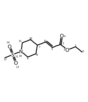 CCOC(=O)C=CC1CCN(S(C)(=O)=O)CC1